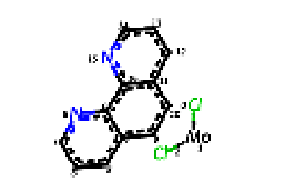 [Cl][Mo][Cl].c1cnc2c(c1)ccc1cccnc12